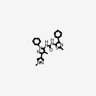 Cc1nc(-c2ccccc2)c(NC(=O)Nc2c(C)c(-c3cnn(C)c3)nn2-c2ccccc2)s1